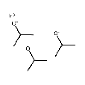 CC(C)[O-].CC(C)[O-].CC(C)[O-].[Ir+3]